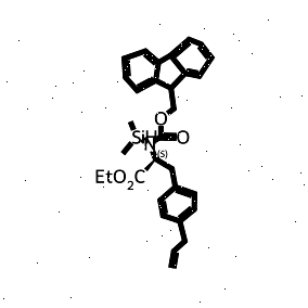 C=CCc1ccc(C[C@@H](C(=O)OCC)N(C(=O)OCC2c3ccccc3-c3ccccc32)[SiH](C)C)cc1